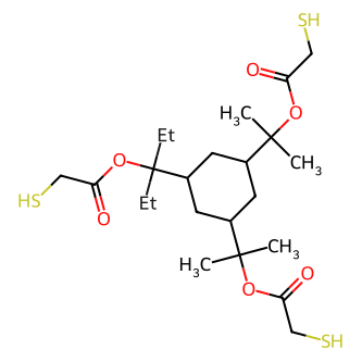 CCC(CC)(OC(=O)CS)C1CC(C(C)(C)OC(=O)CS)CC(C(C)(C)OC(=O)CS)C1